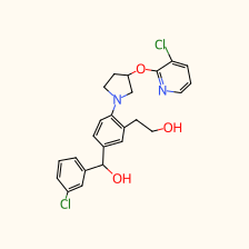 OCCc1cc(C(O)c2cccc(Cl)c2)ccc1N1CCC(Oc2ncccc2Cl)C1